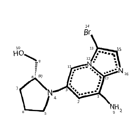 Nc1cc(N2CCC[C@@H]2CO)cn2c(Br)cnc12